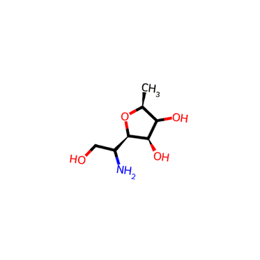 C[C@@H]1O[C@H](C(N)CO)[C@H](O)C1O